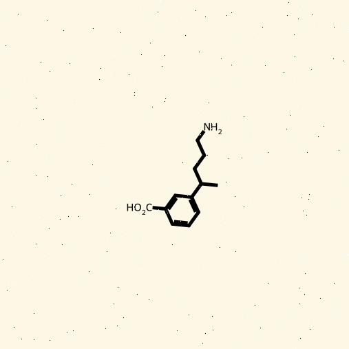 CC(C[CH]CN)c1cccc(C(=O)O)c1